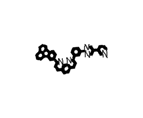 c1cncc(-c2cnc(-c3cccc(-c4ccc5ccc6ccc(-c7ccc8c(c7)-c7cccc9cccc-8c79)nc6c5n4)c3)nc2)c1